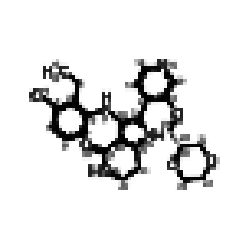 CCc1c(Cl)cccc1Nc1c(-c2ccncc2OC[C@@H]2COCCO2)[nH]c2c1C(=O)NCC2